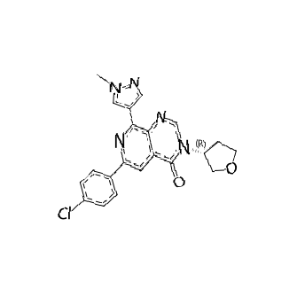 Cn1cc(-c2nc(-c3ccc(Cl)cc3)cc3c(=O)n([C@@H]4CCOC4)cnc23)cn1